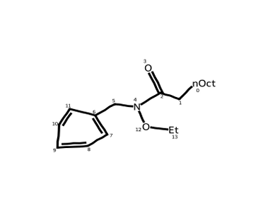 CCCCCCCCCC(=O)N(Cc1ccccc1)OCC